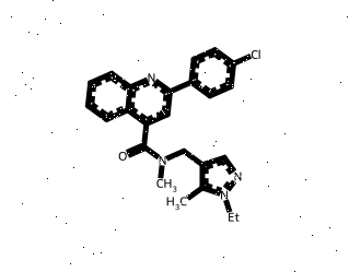 CCn1ncc(CN(C)C(=O)c2cc(-c3ccc(Cl)cc3)nc3ccccc23)c1C